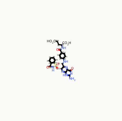 Nc1nc(=O)c2nc(CNc3ccc(C(=O)N[C@@H](CCC(=O)O)C(=O)O)cc3)cnc2[nH]1.O=C1NS(=O)(=O)c2ccccc21